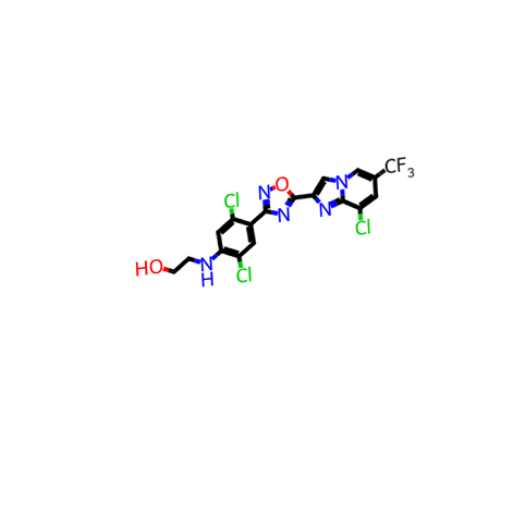 OCCNc1cc(Cl)c(-c2noc(-c3cn4cc(C(F)(F)F)cc(Cl)c4n3)n2)cc1Cl